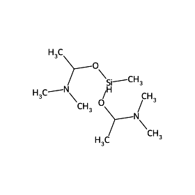 CC(O[SiH](C)OC(C)N(C)C)N(C)C